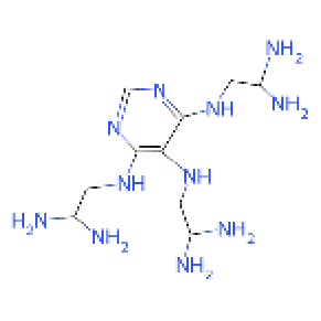 NC(N)CNc1ncnc(NCC(N)N)c1NCC(N)N